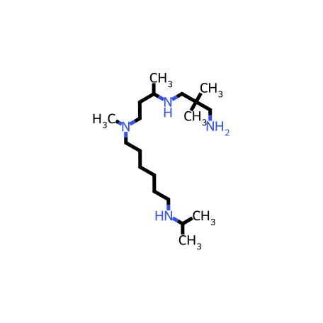 CC(C)NCCCCCCN(C)CCC(C)NCC(C)(C)CN